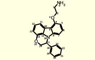 NCCOc1cccc2c1c1cccc3c1n2[C@@H](c1ccccc1)CO3